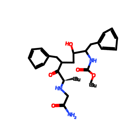 CC(C)(C)OC(=O)NC(Cc1ccccc1)C(O)CC(Cc1ccccc1)C(=O)[C@@H](NCC(N)=O)C(C)(C)C